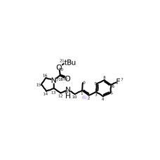 C/C(=C\c1ccc(F)cc1)CNCC1CCCN1C(=O)OC(C)(C)C